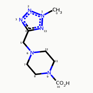 Cn1nnc(CN2CCN(C(=O)O)CC2)n1